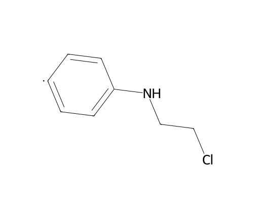 ClCCNc1cc[c]cc1